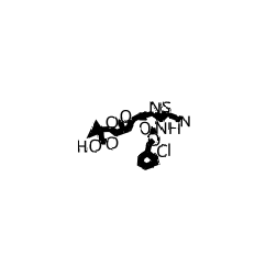 N#Cc1snc(C#Cc2cc3cc(C4(C(=O)O)CC4)oc3o2)c1NC(=O)OCc1ccccc1Cl